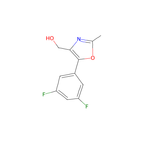 Cc1nc(CO)c(-c2cc(F)cc(F)c2)o1